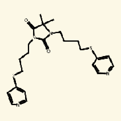 CC1(C)C(=O)N(CCCCSc2ccncc2)C(=O)N1CCCCSc1ccncc1